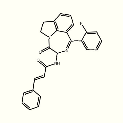 O=C(/C=C/c1ccccc1)NC1N=C(c2ccccc2F)c2cccc3c2N(CC3)C1=O